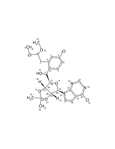 COC(Cc1cc(Cl)ccc1C(O)[C@H]1O[C@@H](n2ccc3c(Cl)ncnc32)[C@@H]2OC(C)(C)O[C@@H]21)OC